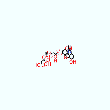 C[C@H](OC(=O)C[C@H](O)C(=O)OC1=CC[C@@]2(O)[C@H]3Cc4ccc(O)c5c4[C@@]2(CCN3C)[C@H]1O5)C(=O)O[C@@H](CC(=O)O)C(=O)O